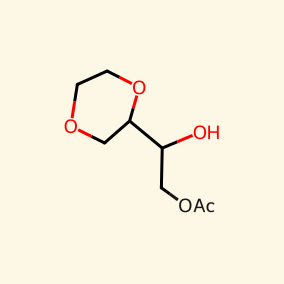 CC(=O)OCC(O)C1COCCO1